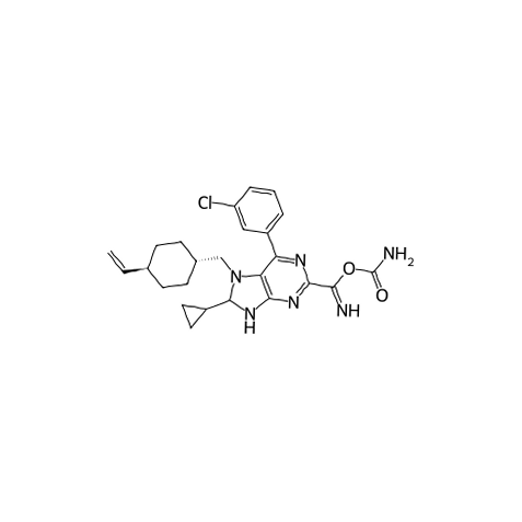 C=C[C@H]1CC[C@H](CN2c3c(nc(C(=N)OC(N)=O)nc3-c3cccc(Cl)c3)NC2C2CC2)CC1